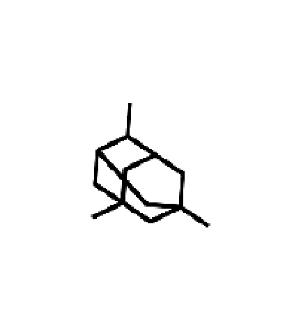 CC1C2CC3(C)CC1CC(C)(C2)C3